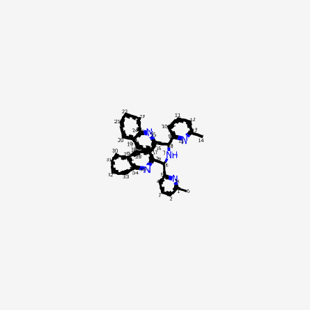 Cc1cccc(C(NC(c2cccc(C)n2)c2ccc3ccccc3n2)c2ccc3ccccc3n2)n1